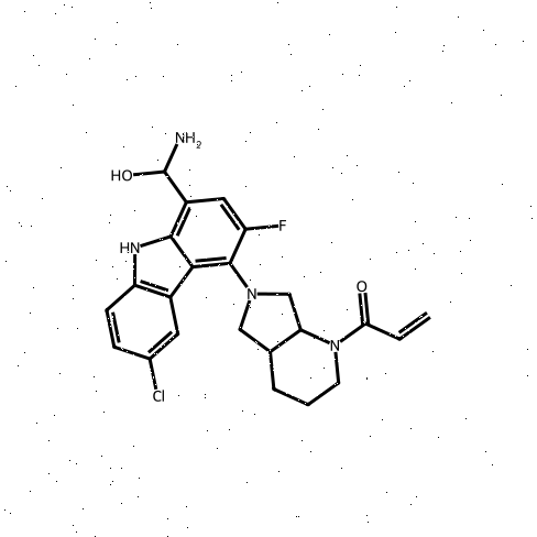 C=CC(=O)N1CCCC2CN(c3c(F)cc(C(N)O)c4[nH]c5ccc(Cl)cc5c34)CC21